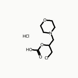 Cl.O=C(O)OC(CCl)CN1CCOCC1